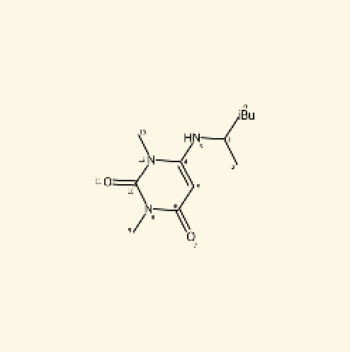 CCC(C)C(C)Nc1cc(=O)n(C)c(=O)n1C